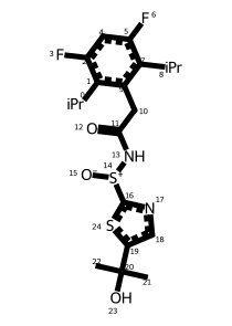 CC(C)c1c(F)cc(F)c(C(C)C)c1CC(=O)N[S+]([O-])c1ncc(C(C)(C)O)s1